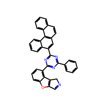 C1=NCc2c1oc1cccc(-c3nc(-c4ccccc4)nc(-c4cc5ccc6ccccc6c5c5ccccc45)n3)c21